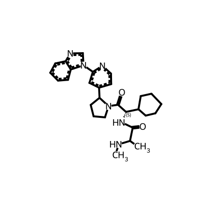 CNC(C)C(=O)N[C@H](C(=O)N1CCCC1c1ccnc(-n2cnc3ccccc32)c1)C1CCCCC1